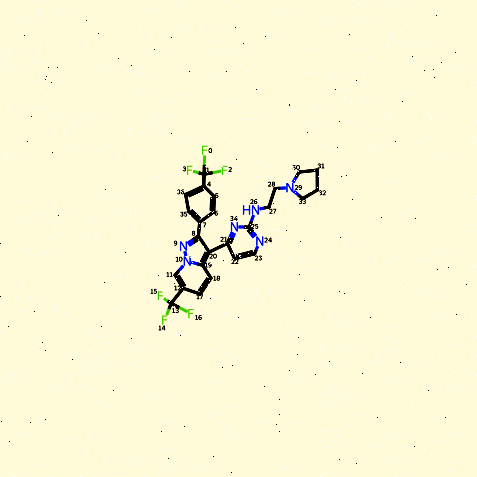 FC(F)(F)c1ccc(-c2nn3cc(C(F)(F)F)ccc3c2-c2ccnc(NCCN3CCCC3)n2)cc1